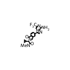 CNC(=O)C(C1CC1)N1Cc2cc(-c3cnc4c(N)nc(C(F)(F)F)cn34)ccc2C1=O